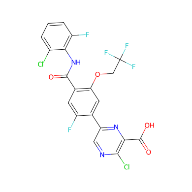 O=C(Nc1c(F)cccc1Cl)c1cc(F)c(-c2cnc(Cl)c(C(=O)O)n2)cc1OCC(F)(F)F